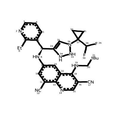 CCc1ncccc1[C@H](Nc1cc(C#N)c2ncc(C#N)c(NCC(C)(C)C)c2c1)C1=CN(C2(C(F)F)CC2)NN1